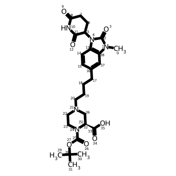 Cn1c(=O)n(C2CCC(=O)NC2=O)c2ccc(CCCCN3CCN(C(=O)OC(C)(C)C)[C@H](C(=O)O)C3)cc21